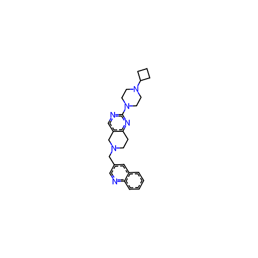 c1ccc2ncc(CN3CCc4nc(N5CCN(C6CCC6)CC5)ncc4C3)cc2c1